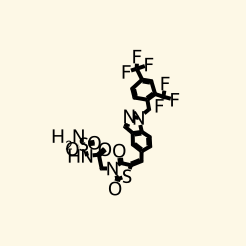 NS(=O)(=O)NC(=O)CN1C(=O)SC(=Cc2ccc3c(cnn3Cc3ccc(C(F)(F)F)cc3C(F)(F)F)c2)C1=O